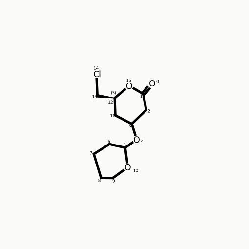 O=C1CC(OC2CCCCO2)C[C@@H](CCl)O1